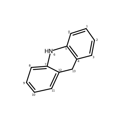 [c]1cccc2c1Nc1ccccc1C2